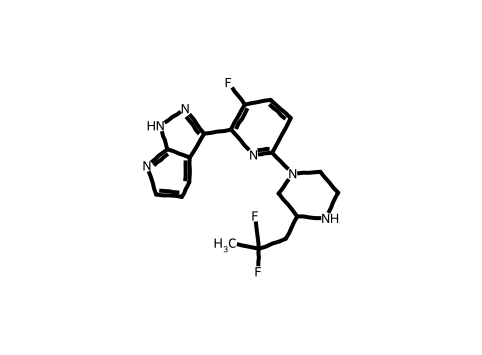 CC(F)(F)CC1CN(c2ccc(F)c(-c3n[nH]c4ncccc34)n2)CCN1